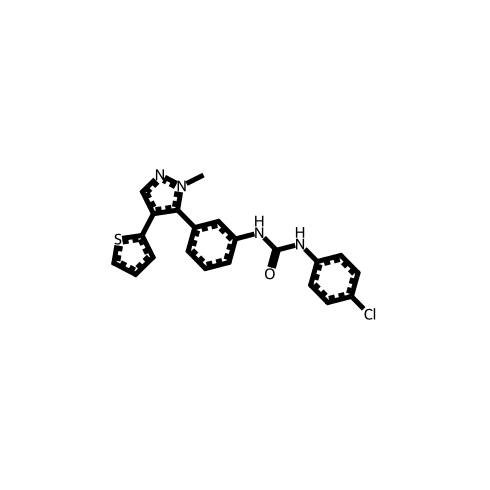 Cn1ncc(-c2cccs2)c1-c1cccc(NC(=O)Nc2ccc(Cl)cc2)c1